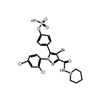 CCCS(=O)(=O)Oc1ccc(-c2c(Br)c(C(=O)NN3CCCCC3)nn2-c2ccc(Cl)cc2Cl)cc1